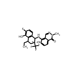 CCC1C[C@](O)(C(F)(F)F)C(Nc2cccc3c(=O)n(C)ncc23)c2ccc(F)c(O)c21